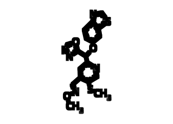 CO/N=C/c1cc(C(Oc2ccc3ncsc3c2)c2nnco2)ncc1SC